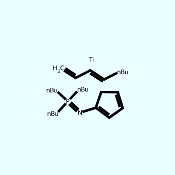 C=CC=CCCCC.CCCCP(CCCC)(CCCC)=NC1=CC=CC1.[Ti]